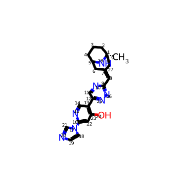 C[C@]12CCCC(C/C(=C\c3ncc(-c4cnc(-n5ccnc5)cc4O)nn3)C1)N2